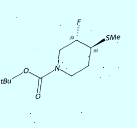 CS[C@H]1CCN(C(=O)OC(C)(C)C)C[C@@H]1F